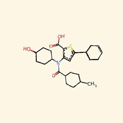 CC1CCC(C(=O)N(c2cc(C3CC=CCC3)sc2C(=O)O)C2CCC(O)CC2)CC1